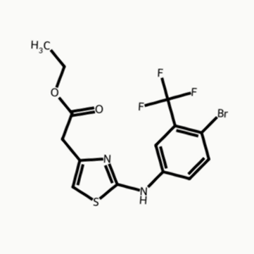 CCOC(=O)Cc1csc(Nc2ccc(Br)c(C(F)(F)F)c2)n1